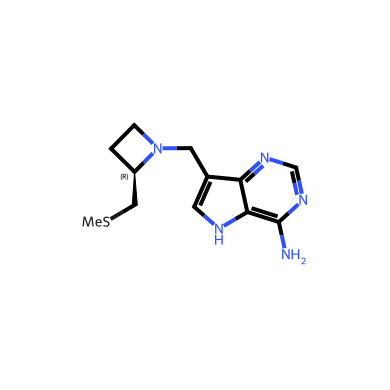 CSC[C@H]1CCN1Cc1c[nH]c2c(N)ncnc12